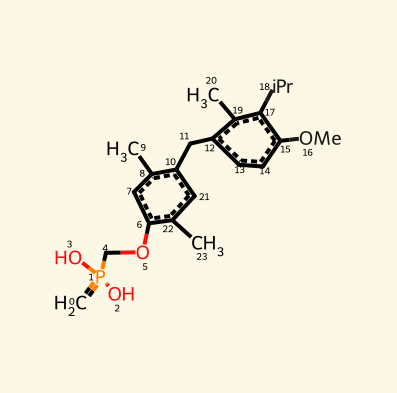 C=P(O)(O)COc1cc(C)c(Cc2ccc(OC)c(C(C)C)c2C)cc1C